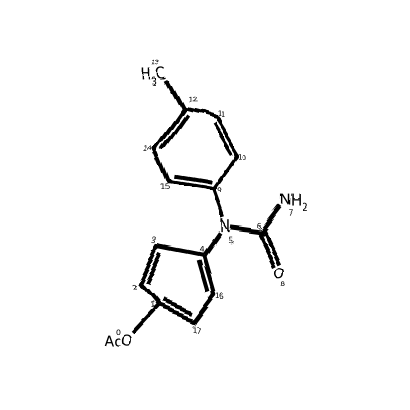 CC(=O)Oc1ccc(N(C(N)=O)c2ccc(C)cc2)cc1